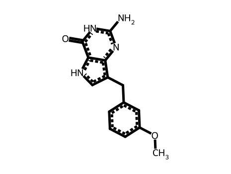 COc1cccc(Cc2c[nH]c3c(=O)[nH]c(N)nc23)c1